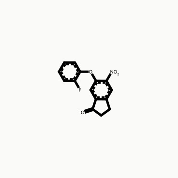 O=C1CCc2cc([N+](=O)[O-])c(Oc3ccccc3F)cc21